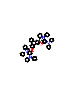 c1ccc(N(c2ccccc2)c2cc3c4c(c2)N(c2ccccc2)c2ccccc2B4c2cc4c5ccccc5c5cc6c(cc5c4cc2O3)Oc2cc(N(c3ccccc3)c3ccccc3)cc3c2B6c2ccccc2N3c2ccccc2)cc1